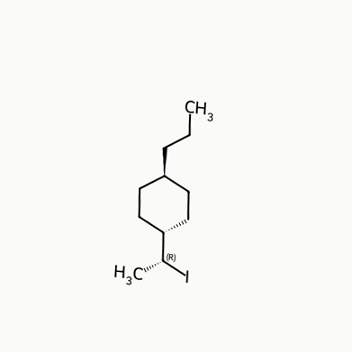 CCC[C@H]1CC[C@H]([C@@H](C)I)CC1